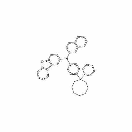 c1ccc(C2(c3ccc(N(c4ccc5ccccc5c4)c4ccc5oc6ccccc6c5c4)cc3)CCCCCCC2)cc1